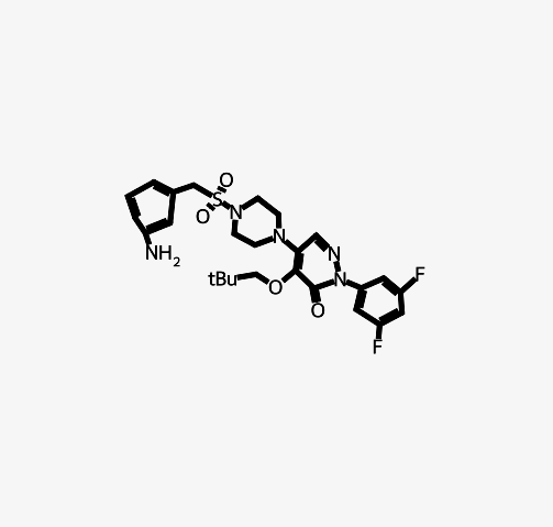 CC(C)(C)COc1c(N2CCN(S(=O)(=O)Cc3cccc(N)c3)CC2)cnn(-c2cc(F)cc(F)c2)c1=O